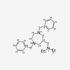 CCN(CC)CC1CN(Cc2ccccc2)CCN(Cc2ccccc2)C1